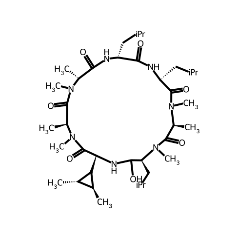 CC(C)C[C@H]1NC(=O)[C@@H](C)N(C)C(=O)[C@H](C)N(C)C(=O)[C@H](C2[C@@H](C)[C@@H]2C)NC(O)[C@H](CC(C)C)N(C)C(=O)[C@H](C)N(C)C(=O)[C@@H](CC(C)C)NC1=O